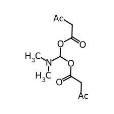 CC(=O)CC(=O)OC(OC(=O)CC(C)=O)N(C)C